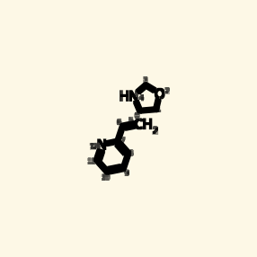 C1COCN1.C=Cc1ccccn1